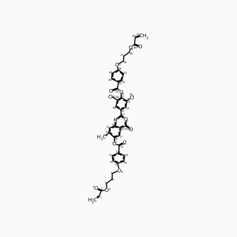 C=CC(=O)OCCCOc1ccc(C(=O)Oc2cc3c(=O)oc(-c4cc(Cl)c(OC(=O)c5ccc(OCCCOC(=O)C=C)cc5)c(Cl)c4)nc3cc2C)cc1